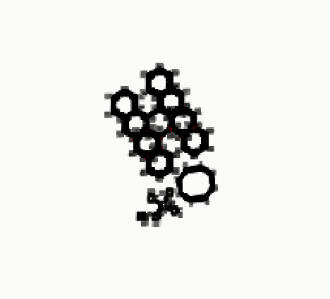 C1=C\CC/C=C\CC/1.[O-][Cl+3]([O-])([O-])[O-].[Rh+].c1ccc(P(c2ccccc2)c2ccc3ccccc3c2-c2c(P(c3ccccc3)c3ccccc3)ccc3ccccc23)cc1